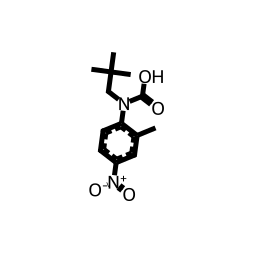 Cc1cc([N+](=O)[O-])ccc1N(CC(C)(C)C)C(=O)O